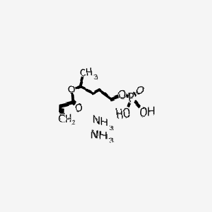 C=CC(=O)OC(C)CCCOP(=O)(O)O.N.N